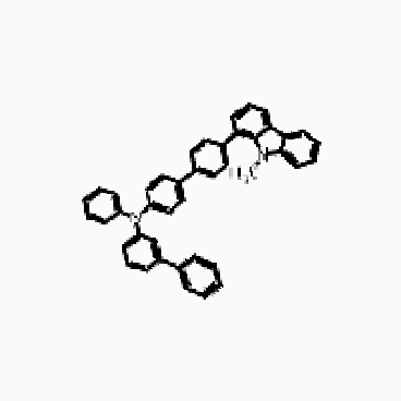 Cn1c2ccccc2c2cccc(-c3ccc(-c4ccc(N(c5ccccc5)c5cccc(-c6ccccc6)c5)cc4)cc3)c21